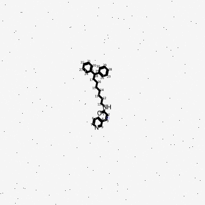 O=C(/C=C\c1cccnc1)NCCCCCCCC(c1ccccc1)c1ccccc1